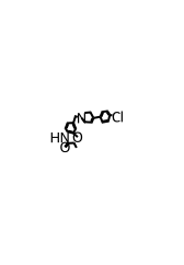 CC1Oc2cc(CN3CC=C(c4ccc(Cl)cc4)CC3)ccc2NC1=O